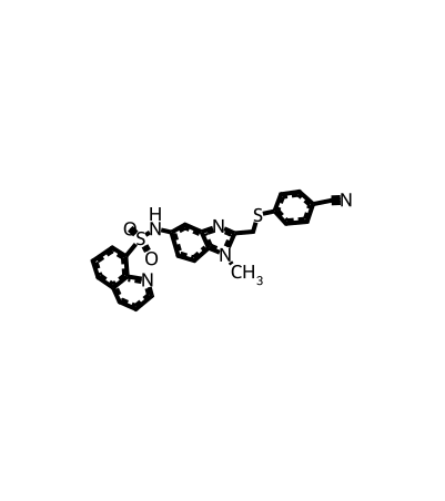 Cn1c(CSc2ccc(C#N)cc2)nc2cc(NS(=O)(=O)c3cccc4cccnc34)ccc21